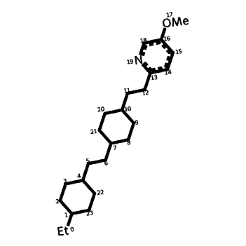 CCC1CCC(CCC2CCC(CCc3ccc(OC)cn3)CC2)CC1